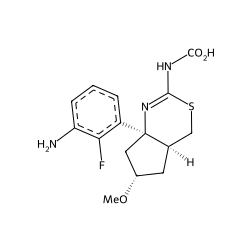 CO[C@H]1C[C@@H]2CSC(NC(=O)O)=N[C@]2(c2cccc(N)c2F)C1